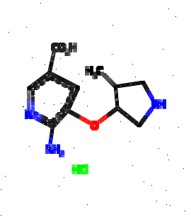 CC1CNCC1Oc1cc(C(=O)O)cnc1N.Cl